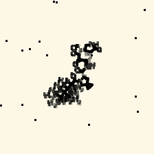 BC(B)(B)C(B)(C(B)(B)B)C(B)(B)C(B)(B)C(=O)N1CC2(CC2)C[C@H]1C(=O)N[C@@H](C[C@@H]1CCNC1=O)C(=O)COC(F)(F)F